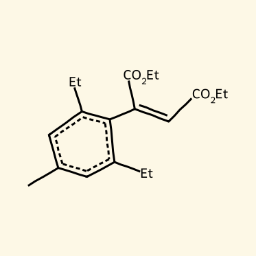 CCOC(=O)/C=C(\C(=O)OCC)c1c(CC)cc(C)cc1CC